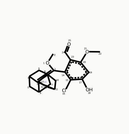 CO/C(=C1\C2CC3CC4(C2)CC1CC34)c1c(Cl)c(O)cc(OC)c1C=O